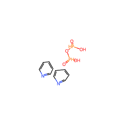 O=[PH](O)O[PH](=O)O.c1ccncc1.c1ccncc1